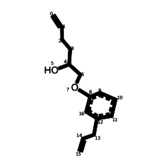 C=CC[CH]C(O)COc1cccc(CC=C)c1